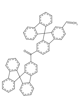 C=Cc1ccc2c(c1)C1(c3ccccc3-c3ccccc31)c1cc(C(=O)c3ccc4c(c3)C3(c5ccccc5-c5ccccc53)c3ccccc3-4)ccc1-2